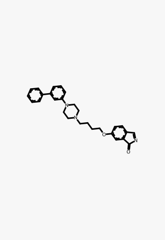 O=C1N=Cc2ccc(OCCCCN3CCN(c4cccc(-c5ccccc5)c4)CC3)cc21